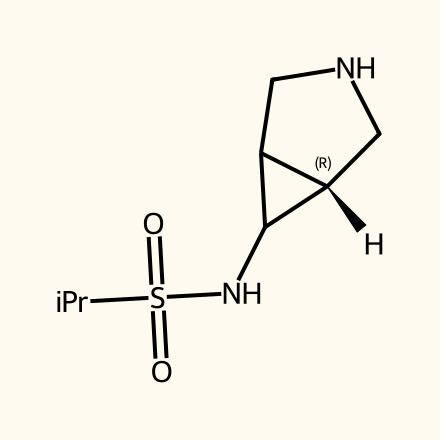 CC(C)S(=O)(=O)NC1C2CNC[C@@H]21